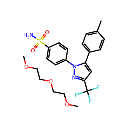 COCCOCCOC.Cc1ccc(-c2cc(C(F)(F)F)nn2-c2ccc(S(N)(=O)=O)cc2)cc1